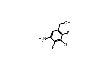 Nc1cc(CO)c(F)c(Cl)c1F